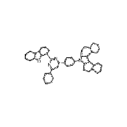 c1ccc(-c2cc(-c3ccc(-n4c5ccc6ccccc6c5c5c6ccccc6ccc54)cc3)nc(-c3cccc4c3oc3ccccc34)n2)cc1